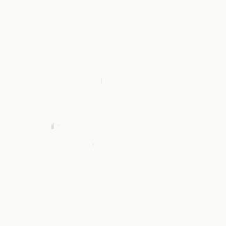 [CH2]C(C(=O)C(C)C)c1ccccc1